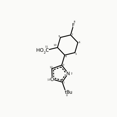 CC(C)(C)c1nc(C2CCC(F)CC2C(=O)O)co1